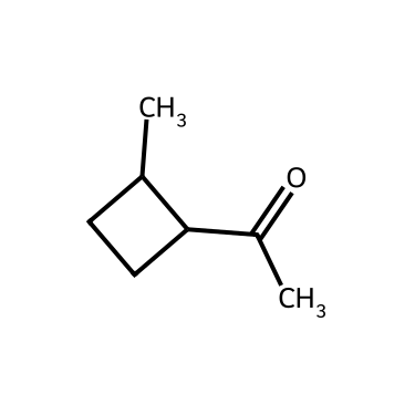 CC(=O)C1CCC1C